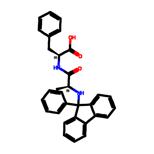 C[C@H](NC1(c2ccccc2)c2ccccc2-c2ccccc21)C(=O)N[C@@H](Cc1ccccc1)C(=O)O